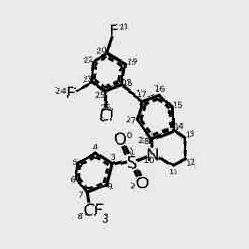 O=S(=O)(c1cccc(C(F)(F)F)c1)N1CCCc2ccc(-c3cc(F)cc(F)c3Cl)cc21